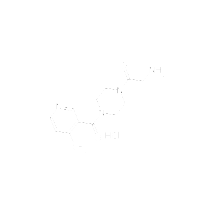 Cl.NCC(=O)N1CCN(C(=O)c2cnccc2C(F)(F)F)CC1